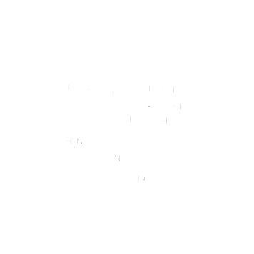 CC(C)(S)C[C@H]1/C(=C(\N)c2cccc(Br)n2)CC1O[Si](C)(C)C(C)(C)C